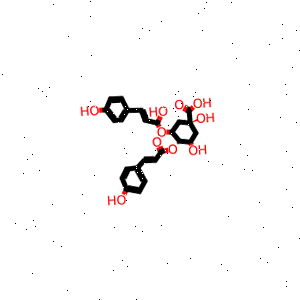 O=C(/C=C/c1ccc(O)cc1)O[C@H]1C(O)C[C@](O)(C(=O)O)CC1OC(O)/C=C/c1ccc(O)cc1